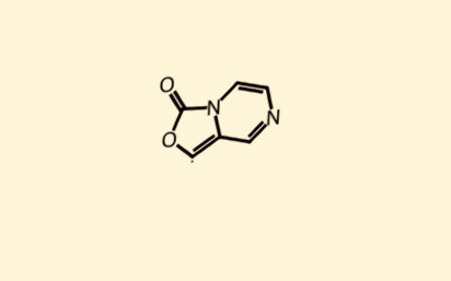 O=c1o[c]c2cnccn12